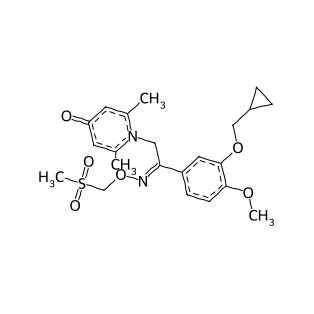 COc1ccc(/C(Cn2c(C)cc(=O)cc2C)=N/OCS(C)(=O)=O)cc1OCC1CC1